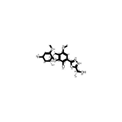 [2H]C1C=C(OC)[C@]2(Cc3c(OC)cc(-c4nnc([C@@H](C)O)o4)c(Cl)c3O2)[C@H](C)C1